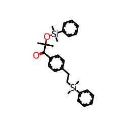 CC(C)(O[Si](C)(C)c1ccccc1)C(=O)c1ccc(CC[Si](C)(C)c2ccccc2)cc1